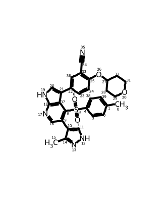 Cc1ccc(S(=O)(=O)c2c(-c3c[nH]nc3C)cnc3[nH]cc(-c4ccc(OC5CCOCC5)c(C#N)c4)c23)cc1